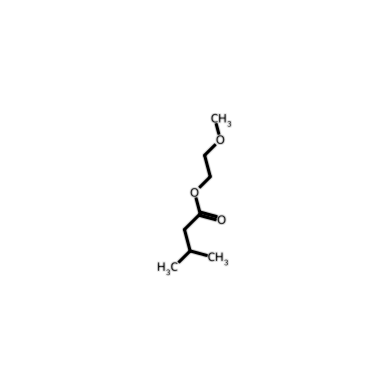 COCCOC(=O)CC(C)C